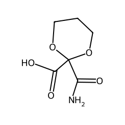 NC(=O)C1(C(=O)O)OCCCO1